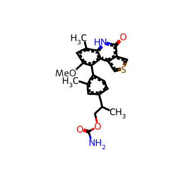 COc1cc(C)c2[nH]c(=O)c3cscc3c2c1-c1ccc(C(C)COC(N)=O)cc1C